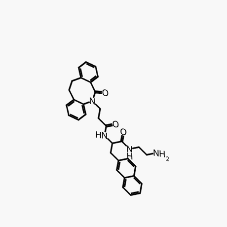 NCCNC(=O)C(Cc1ccc2ccccc2c1)NC(=O)CCN1C(=O)c2ccccc2CCc2ccccc21